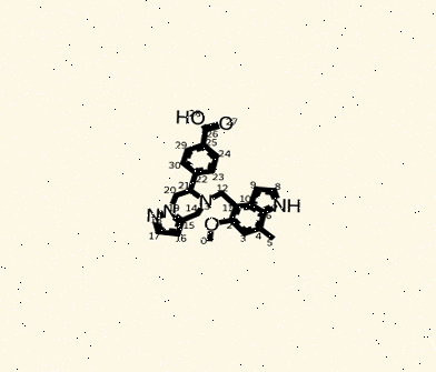 COc1cc(C)c2[nH]ccc2c1CN1Cc2ccnn2CC1c1ccc(C(=O)O)cc1